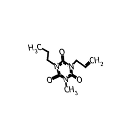 C=CCn1c(=O)n(C)c(=O)n(CCC)c1=O